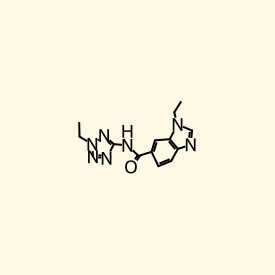 CCn1nnc(NC(=O)c2ccc3ncn(CC)c3c2)n1